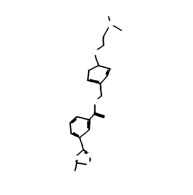 CN(C)CCOC1C=CC(CNC(=O)c2cccc(-c3noc(C(F)(F)F)n3)c2)=CC1